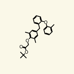 Cc1ccccc1Oc1ccccc1Cc1cc(C)c(OCC(=O)OC(C)(C)C)c(C)c1